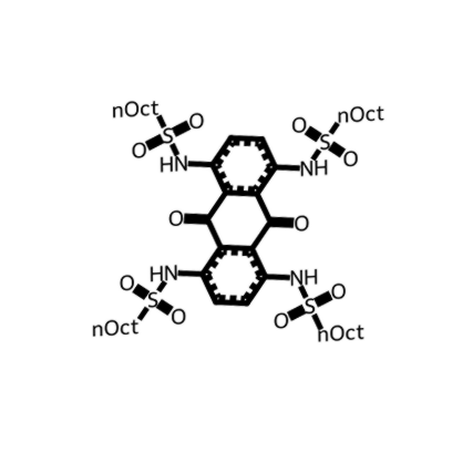 CCCCCCCCS(=O)(=O)Nc1ccc(NS(=O)(=O)CCCCCCCC)c2c1C(=O)c1c(NS(=O)(=O)CCCCCCCC)ccc(NS(=O)(=O)CCCCCCCC)c1C2=O